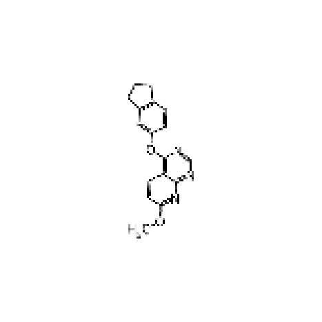 COc1ccc2c(Oc3ccc4c(c3)CCC4)ncnc2n1